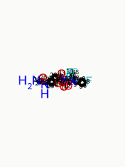 C[C@H](N(Cc1ccc(F)cc1)C(=O)CN1C(=O)O[C@@]2(CCc3cc(NC(=O)CN)ccc32)C1=O)C(F)(F)F